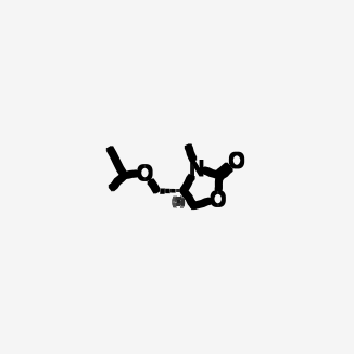 CC(C)OC[C@H]1COC(=O)N1C